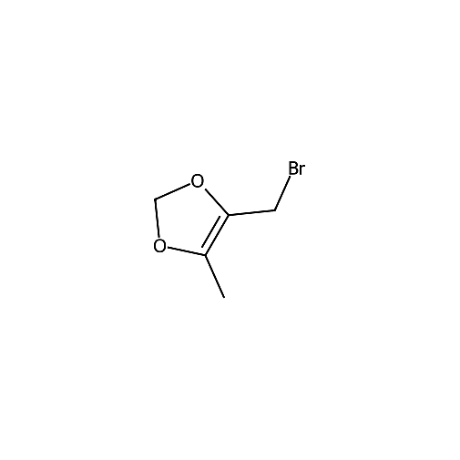 CC1=C(CBr)OCO1